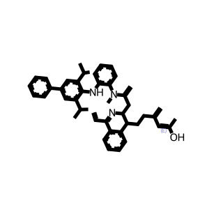 C=CC1=NC(CC(=C)N(C)c2ccccc2Nc2c(C(C)C)cc(-c3ccccc3)cc2C(C)C)C(CCC(=C)/C=C(\C)O)c2ccccc21